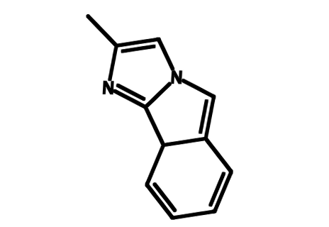 Cc1cn2c(n1)C1C=CC=CC1=C2